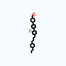 CCCC1CCC(CCCCc2ccc(-c3ccc(C4CCC(COC)CC4)cc3)c(F)c2)CC1